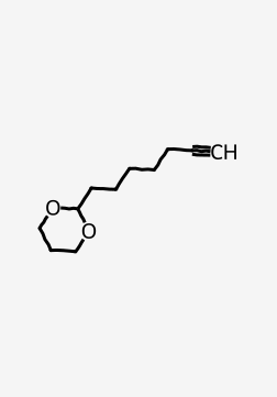 C#CCCCCCC1OCCCO1